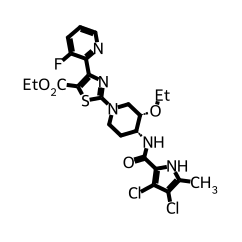 CCOC(=O)c1sc(N2CC[C@@H](NC(=O)c3[nH]c(C)c(Cl)c3Cl)[C@@H](OCC)C2)nc1-c1ncccc1F